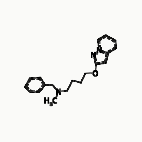 CN(CCCCOc1cc2ccccn2n1)Cc1ccccc1